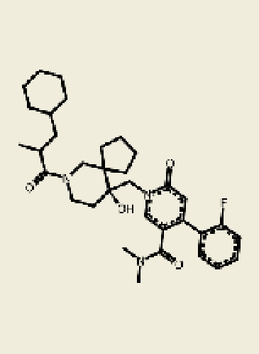 CC(CC1CCCCC1)C(=O)N1CC[C@@](O)(Cn2cc(C(=O)N(C)C)c(-c3ccccc3F)cc2=O)C2(CCCC2)C1